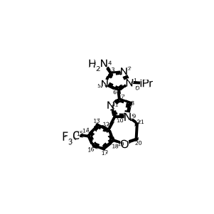 CC(C)n1nc(N)nc1-c1cn2c(n1)-c1cc(C(F)(F)F)ccc1OCC2